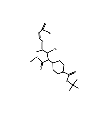 C=C(Cl)/C=C\C=C(/C)C(O)C(C(=O)OC)C1CCN(C(=O)OC(C)(C)C)CC1